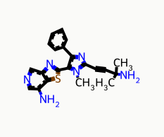 Cn1c(C#CC(C)(C)N)nc(-c2ccccc2)c1-c1nc2cncc(N)c2s1